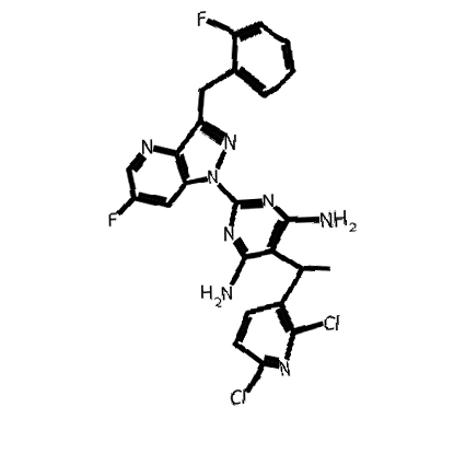 C[C](c1ccc(Cl)nc1Cl)c1c(N)nc(-n2nc(Cc3ccccc3F)c3ncc(F)cc32)nc1N